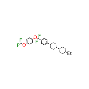 CC[C@H]1CC[C@H]([C@H]2CC[C@H](c3ccc(C(F)(F)Oc4ccc(OC(F)F)cc4)cc3)CC2)CC1